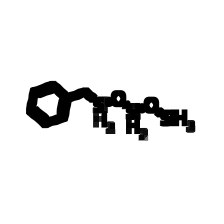 [SiH3]O[SiH2]O[SiH2]Cc1ccccc1